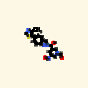 Cc1ncsc1C1=CC=C(CNC(=O)[C@@H]2C[C@@H](N=O)CN(C=O)C2)CC=C1